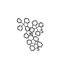 c1ccc(C2(c3ccccc3)c3ccccc3-c3ccc(-c4ccccc4N(c4ccc5c(c4)C4(c6ccccc6Sc6ccccc64)c4ccccc4-5)c4cccc5c4-c4ccccc4C54c5ccccc5Sc5ccccc54)cc32)cc1